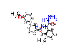 COc1cccc(-c2cccc(OCc3c(C)cccc3N(N)C(=O)NN)c2)c1